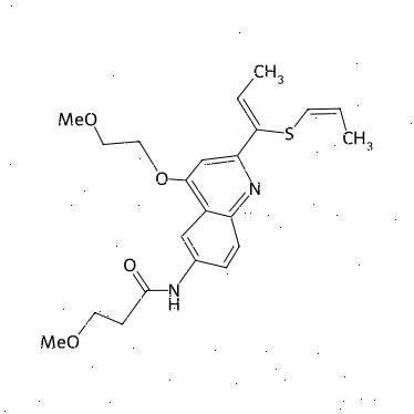 C/C=C\S/C(=C\C)c1cc(OCCOC)c2cc(NC(=O)CCOC)ccc2n1